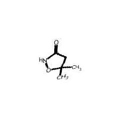 CC1(C)CC(=O)NO1